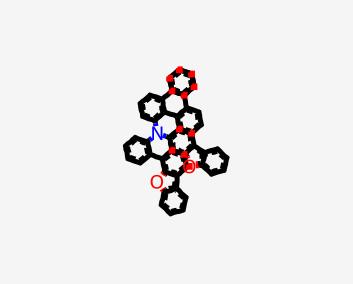 c1ccc(-c2ccccc2-c2c(-c3ccccc3)cccc2N(c2ccc3c(c2)oc2ccccc23)c2ccccc2-c2cccc3c2oc2ccccc23)cc1